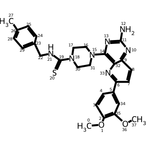 COc1ccc(-c2ccc3nc(N)nc(N4CCN(C(=S)NCc5ccc(C)cc5)CC4)c3n2)cc1OC